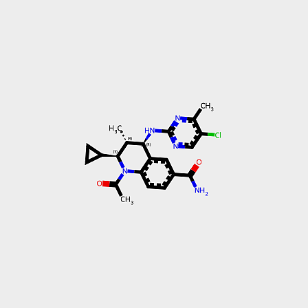 CC(=O)N1c2ccc(C(N)=O)cc2[C@H](Nc2ncc(Cl)c(C)n2)[C@@H](C)[C@@H]1C1CC1